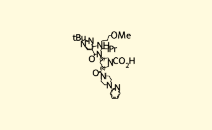 COCCCNc1nc(C(C)(C)C)ncc1C(=O)N(CC(C)C)[C@H]1C[C@@H](C(=O)N2CCN(c3ccccn3)CC2)CN(C(=O)O)C1